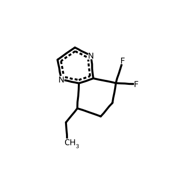 CCC1CCC(F)(F)c2nccnc21